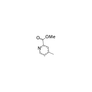 COC(=O)c1cc(C)[c]cn1